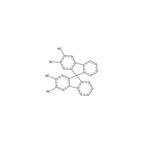 N#Cc1cc2c(cc1C#N)C1(c3ccccc3-2)c2ccccc2-c2cc(C#N)c(C#N)cc21